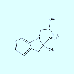 CC(=O)OC(C)CN1c2ccccc2CC1(C)S(=O)(=O)O